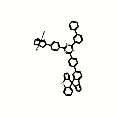 C[C@H]1CC2C[C@H]3CC(c4ccc(-c5nc(-c6ccc(-c7ccc8c(c7)C7(c9ccccc9Oc9ccccc97)c7ccccc7-8)cc6)nc(-c6cccc(-c7ccccc7)c6)n5)cc4)(CC23)C1